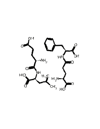 CC(C)C[C@H](NC(=O)[C@@H](N)CCC(=O)O)C(=O)O.N[C@@H](CCC(=O)N[C@@H](Cc1ccccc1)C(=O)O)C(=O)O